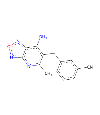 Cc1nc2nonc2c(N)c1Cc1cccc(C#N)c1